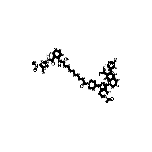 CC(=O)N1CCc2c(c(N3CCCc4cc(-c5cnn(C)c5)c(C(F)F)cc43)nn2C2CCN(C(=O)CCCCCCCCC(=O)Nc3ccccc3C(=O)Nc3nc(C)c([N+](=O)[O-])s3)CC2)C1